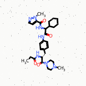 CCC(=O)N[C@H](Cc1ccc(NC(=O)C(NC(=O)c2ccnn2C)C2CCCCC2)cc1)C(=O)N1CCN(C)CC1